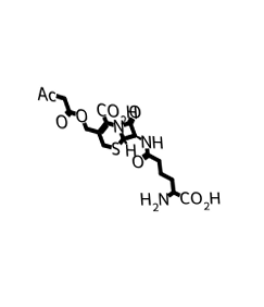 CC(=O)CC(=O)OCC1=C(C(=O)O)N2C(=O)[C@@H](NC(=O)CCCC(N)C(=O)O)[C@@H]2SC1